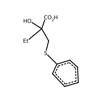 CCC(O)(CSc1ccccc1)C(=O)O